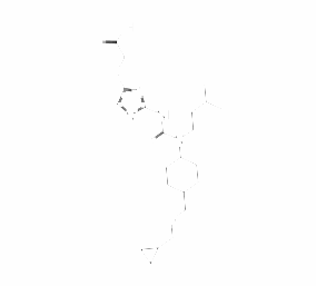 CC(C)CCN(C(=O)Nc1ncc(SCC(=O)O)s1)C1CCC(COCC2CC2)CC1